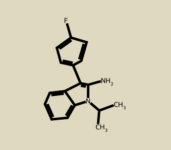 CC(C)n1c(N)c(-c2ccc(F)cc2)c2ccccc21